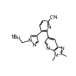 Cc1nc2cc(-c3nc(C#N)ccc3-c3cnn(CC(C)(C)C)c3)cnc2n1C